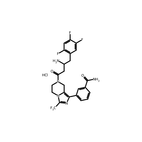 Cl.NC(=O)c1cccc(-c2nc(C(F)(F)F)n3c2CN(C(=O)CC(N)Cc2cc(F)c(F)cc2F)CC3)c1